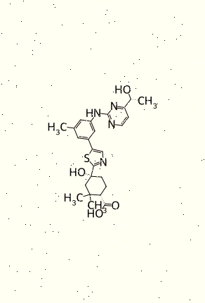 Cc1cc(Nc2nccc([C@@H](C)O)n2)cc(-c2cnc([C@@]3(O)CC[C@H](C(=O)O)C(C)(C)C3)s2)c1